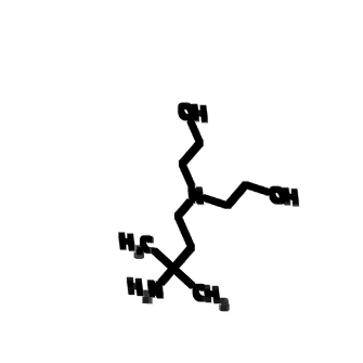 CC(C)(N)CCN(CCO)CCO